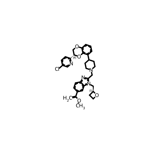 C=C(OC)c1ccc2nc(CN3CCC(c4cccc5c4O[C@H](c4ccc(Cl)cn4)CO5)CC3)n(C[C@@H]3CCO3)c2c1